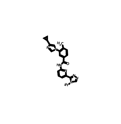 Cc1ccc(C(=O)Nc2cccc(-c3nncn3C(C)C)n2)cc1-n1cnc(C2CC2)c1